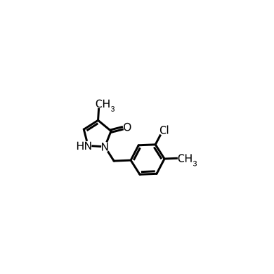 Cc1ccc(Cn2[nH]cc(C)c2=O)cc1Cl